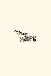 CNC[C@@H](O)COc1ccc(Cl)c(-c2nc(/C(C(C)=N)=C(\C)O)c(C)c(N3CC4(CCC(C(O)N5CCOCC5)CC4)C3)n2)c1